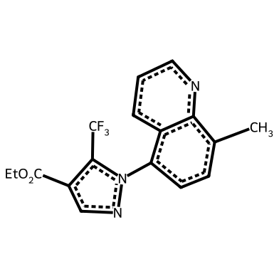 CCOC(=O)c1cnn(-c2ccc(C)c3ncccc23)c1C(F)(F)F